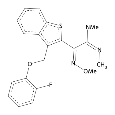 C/N=C(NC)\C(=N/OC)c1sc2ccccc2c1COc1ccccc1F